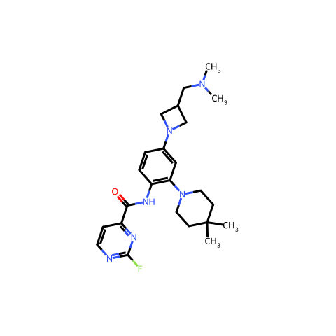 CN(C)CC1CN(c2ccc(NC(=O)c3ccnc(F)n3)c(N3CCC(C)(C)CC3)c2)C1